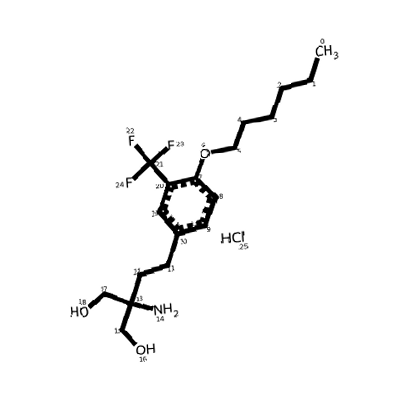 CCCCCCOc1ccc(CCC(N)(CO)CO)cc1C(F)(F)F.Cl